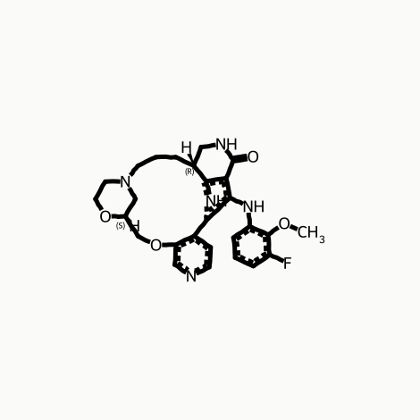 COc1c(F)cccc1Nc1c2[nH]c3c1C(=O)NC[C@H]3CCCN1CCO[C@H](COc3cnccc3-2)C1